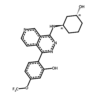 Oc1cc(OC(F)(F)F)ccc1-c1nnc(N[C@@H]2CCC[C@@H](O)C2)c2cnccc12